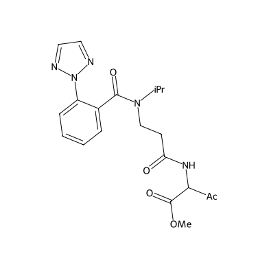 COC(=O)C(NC(=O)CCN(C(=O)c1ccccc1-n1nccn1)C(C)C)C(C)=O